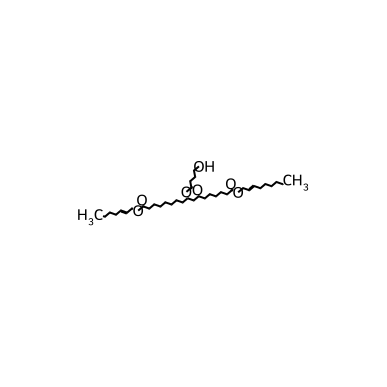 CCCC/C=C/COC(=O)CCCCCCCC(CCCCCCCC(=O)OC/C=C/CCCCCC)OC(=O)CCCO